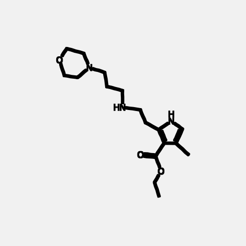 CCOC(=O)c1c(C)c[nH]c1CCNCCCN1CCOCC1